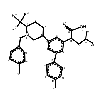 Cc1ccc(CN2CC(c3cc(-c4ccc(C)cc4)cc(C(CC(C)C)C(=O)O)c3)CCC2C(F)(F)F)cc1